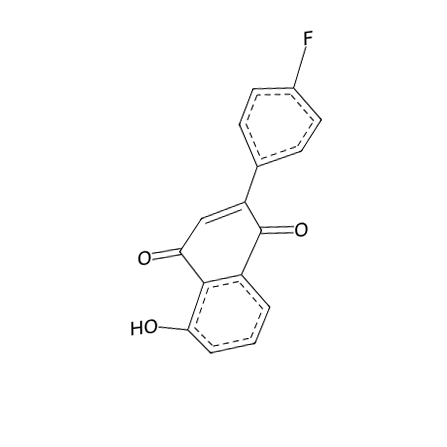 O=C1C(c2ccc(F)cc2)=CC(=O)c2c(O)cccc21